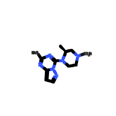 CSc1nc(N2CCN(C(=O)O)C[C@@H]2C)n2nccc2n1